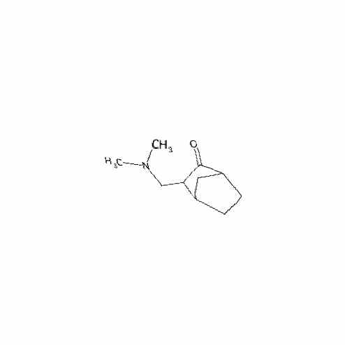 CN(C)CC1C(=O)C2CCC1C2